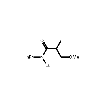 CCCN(CC)C(=O)C(C)COC